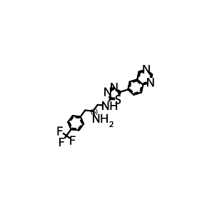 N[C@H](CNc1nnc(-c2ccc3ncncc3c2)s1)Cc1ccc(C(F)(F)F)cc1